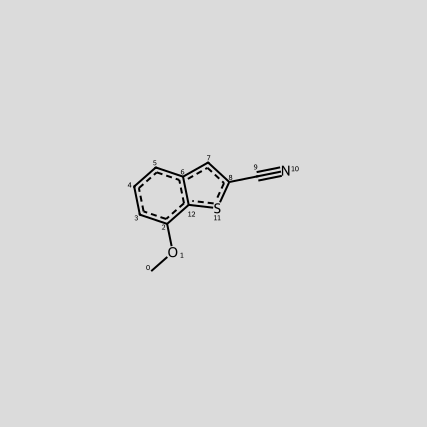 COc1cccc2cc(C#N)sc12